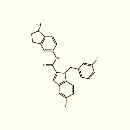 CN1CCc2cc(NC(=O)c3cc4cc(F)ccc4n3Cc3cccc(F)c3)ccc21